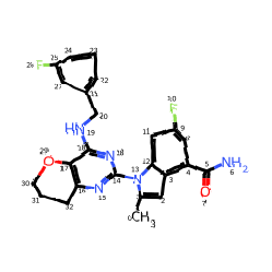 Cc1cc2c(C(N)=O)cc(F)cc2n1-c1nc2c(c(NCc3cccc(F)c3)n1)OCCC2